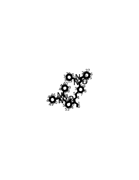 C=Cc1c(/C=C/c2cccc(-c3nc(-c4ccccc4)nc4c3oc3ccccc34)c2)oc2c(-c3nc(-c4ccccc4)nc(-c4ccccc4)n3)cccc12